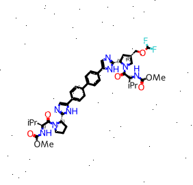 COC(=O)N[C@H](C(=O)N1CCC[C@H]1c1ncc(C2=CCC(c3ccc(-c4cnc([C@@H]5C[C@@H](COC(F)F)CN5C(=O)[C@@H](NC(=O)OC)C(C)C)[nH]4)cc3)C=C2)[nH]1)C(C)C